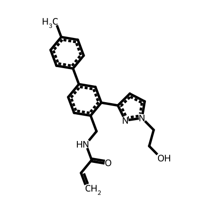 C=CC(=O)NCc1ccc(-c2ccc(C)cc2)cc1-c1ccn(CCO)n1